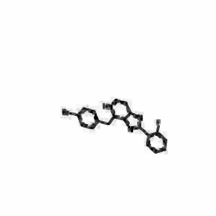 Fc1ccccc1-c1nc2cc[nH]c(Cc3ccc(Br)cc3)c-2n1